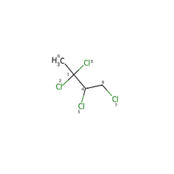 CC(Cl)(Cl)[C](Cl)CCl